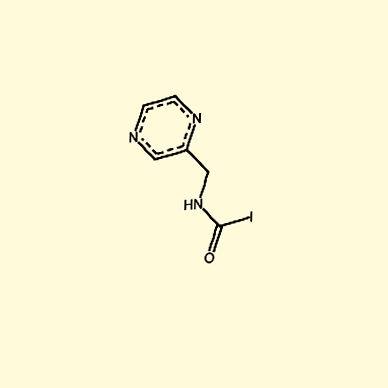 O=C(I)NCc1cnccn1